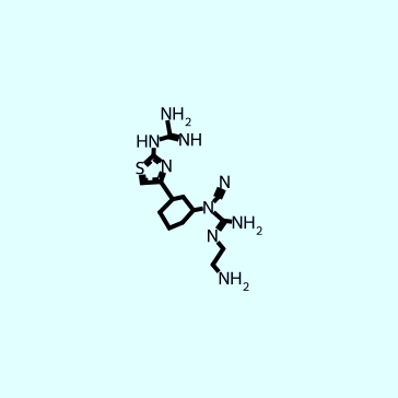 N#CN(C(N)=NCCN)C1CCCC(c2csc(NC(=N)N)n2)C1